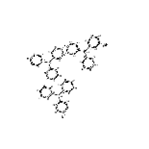 [Br].[Rh].c1ccc(P(c2ccccc2)c2ccccc2)cc1.c1ccc(P(c2ccccc2)c2ccccc2)cc1.c1ccc(P(c2ccccc2)c2ccccc2)cc1